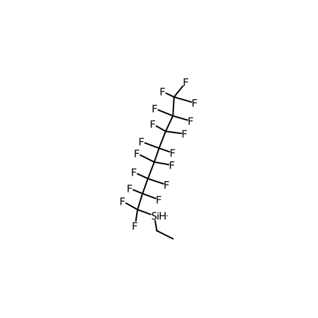 CC[SiH]C(F)(F)C(F)(F)C(F)(F)C(F)(F)C(F)(F)C(F)(F)C(F)(F)C(F)(F)F